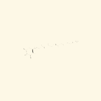 COCCOCCOCCOCCOC1=CC(F)C(O)C(F)C1